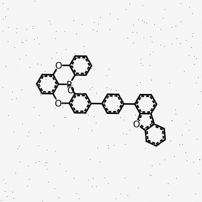 O=P12c3ccccc3Oc3cccc(c31)Oc1ccc(-c3ccc(-c4cccc5c4oc4ccccc45)cc3)cc12